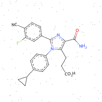 N#Cc1ccc(-c2nc(C(N)=O)c(CCC(=O)O)n2-c2ccc(C3CC3)cc2)cc1F